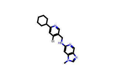 CCc1cc(C2CCCCC2)ncc1CNc1cc2c(cn1)ncn2C